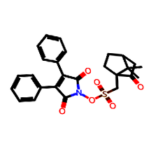 CC1(C)C2CCC1(CS(=O)(=O)ON1C(=O)C(c3ccccc3)=C(c3ccccc3)C1=O)C(=O)C2